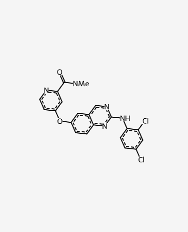 CNC(=O)c1cc(Oc2ccc3nc(Nc4ccc(Cl)cc4Cl)ncc3c2)ccn1